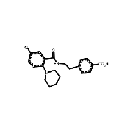 O=C(O)c1ccc(CCNC(=O)c2cc(Cl)cnc2N2CCCCC2)cc1